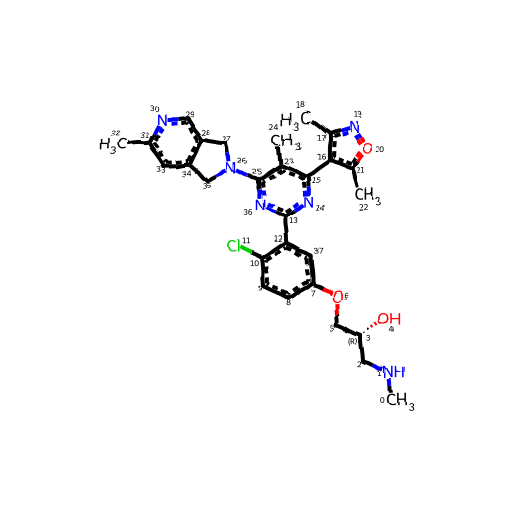 CNC[C@@H](O)COc1ccc(Cl)c(-c2nc(-c3c(C)noc3C)c(C)c(N3Cc4cnc(C)cc4C3)n2)c1